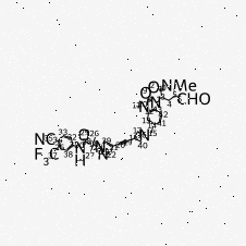 CNC(=O)C(CCC=O)n1c(=O)n(C)c2cc(CN3CC(C#Cc4cnn(C(C)(C)C(=O)Nc5ccc(C#N)c(C(F)(F)F)c5)c4)C3)ccc21